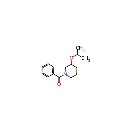 CC(C)OC1CCCN(C(=O)c2ccccc2)C1